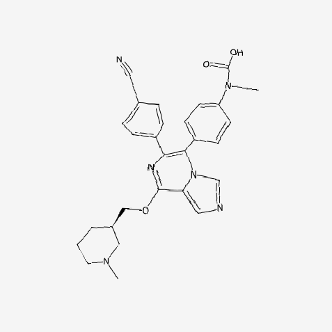 CN1CCC[C@@H](COc2nc(-c3ccc(C#N)cc3)c(-c3ccc(N(C)C(=O)O)cc3)n3cncc23)C1